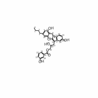 CCCCc1cc(O)c(Cn2cc(C[C@H](O)COC(=O)c3cccc(O)c3)c3cc(O)ccc32)c(O)c1